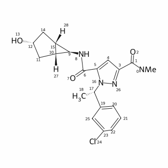 CNC(=O)c1cc(C(=O)N[C@H]2[C@@H]3C[C@H](O)C[C@@H]32)n([C@@H](C)c2cccc(Cl)c2)n1